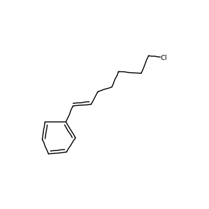 ClCCCCCC=Cc1ccccc1